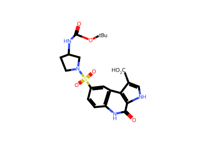 CC(C)(C)OC(=O)NC1CCN(S(=O)(=O)c2ccc3[nH]c(=O)c4[nH]cc(C(=O)O)c4c3c2)C1